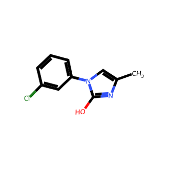 Cc1cn(-c2cccc(Cl)c2)c(O)n1